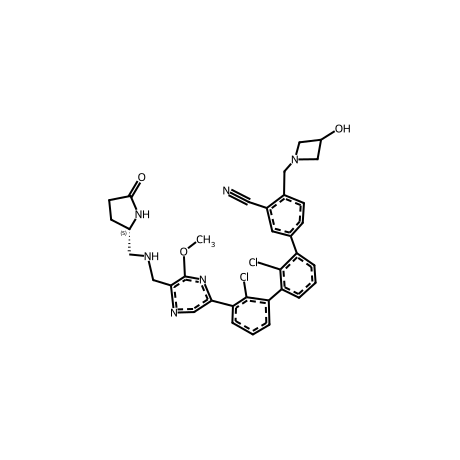 COc1nc(-c2cccc(-c3cccc(-c4ccc(CN5CC(O)C5)c(C#N)c4)c3Cl)c2Cl)cnc1CNC[C@@H]1CCC(=O)N1